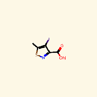 Cc1snc(C(=O)O)c1I